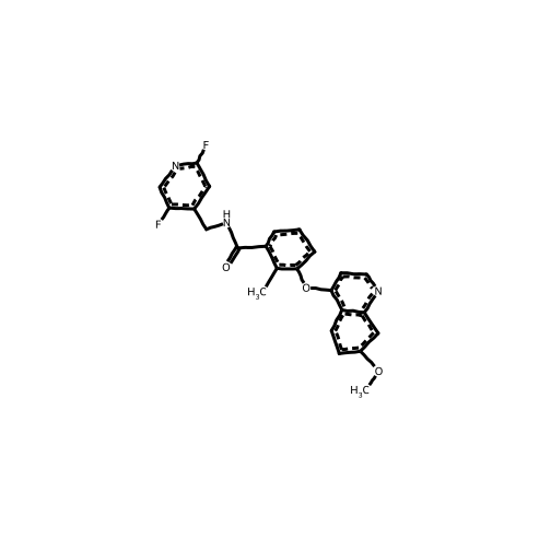 COc1ccc2c(Oc3cccc(C(=O)NCc4cc(F)ncc4F)c3C)ccnc2c1